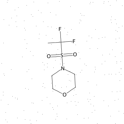 CC(F)(F)S(=O)(=O)N1CCOCC1